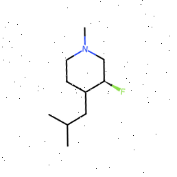 CC(C)CC1CCN(C)C[C@H]1F